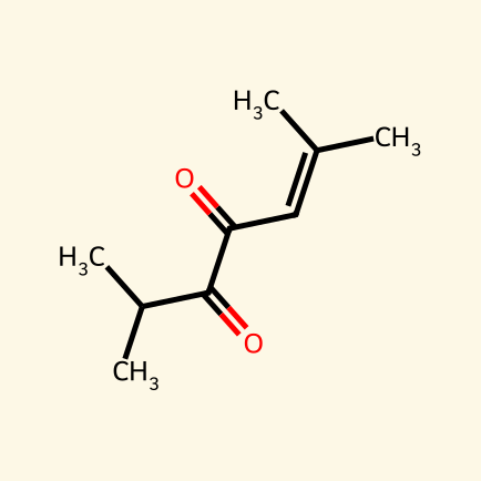 CC(C)=CC(=O)C(=O)C(C)C